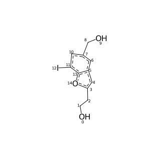 OCCc1cc2cc(CO)cc(I)c2o1